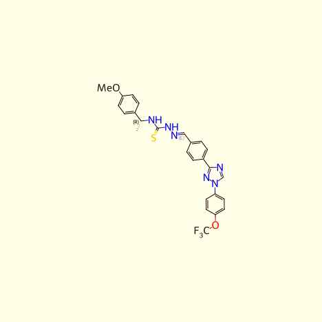 COc1ccc([C@@H](C)NC(=S)N/N=C/c2ccc(-c3ncn(-c4ccc(OC(F)(F)F)cc4)n3)cc2)cc1